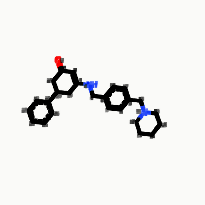 O=C1C=C(NCc2ccc(CN3CCCCC3)cc2)CC(c2ccccc2)C1